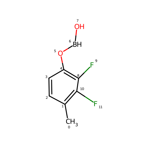 Cc1ccc(OBO)c(F)c1F